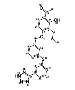 CCCc1c(OCc2cccc(Sc3cc(-c4nn[nH]n4)ccn3)c2)ccc(C(C)=O)c1O